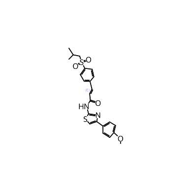 COc1ccc(-c2csc(NC(=O)/C=C/c3ccc(S(=O)(=O)CC(C)C)cc3)n2)cc1